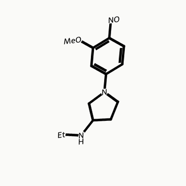 CCNC1CCN(c2ccc(N=O)c(OC)c2)C1